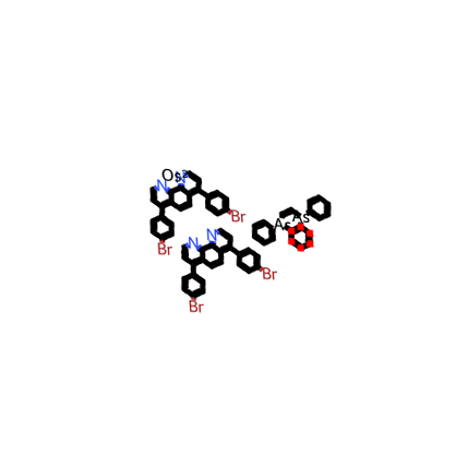 Brc1ccc(-c2ccnc3c2ccc2c(-c4ccc(Br)cc4)ccnc23)cc1.Brc1ccc(-c2ccnc3c2ccc2c(-c4ccc(Br)cc4)ccnc23)cc1.C(=C/[As](c1ccccc1)c1ccccc1)/[As](c1ccccc1)c1ccccc1.[Os+2]